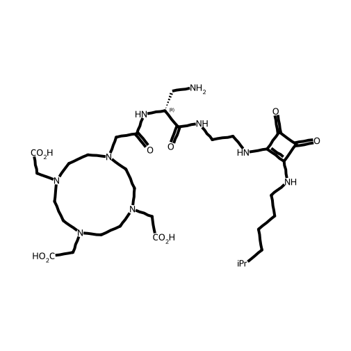 CC(C)CCCCNc1c(NCCNC(=O)[C@@H](CN)NC(=O)CN2CCN(CC(=O)O)CCN(CC(=O)O)CCN(CC(=O)O)CC2)c(=O)c1=O